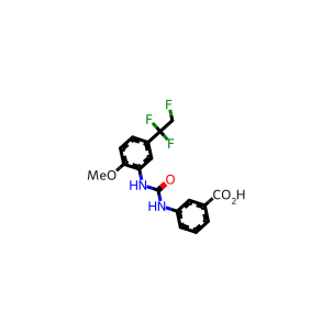 COc1ccc(C(F)(F)CF)cc1NC(=O)Nc1cccc(C(=O)O)c1